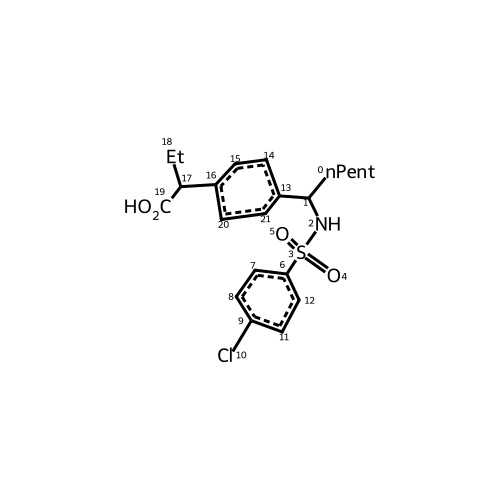 CCCCCC(NS(=O)(=O)c1ccc(Cl)cc1)c1ccc(C(CC)C(=O)O)cc1